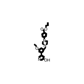 C=CCOC(=O)c1ccc(N2CCN(Cc3cc(OCC)cc(-c4cncc(O)c4)c3)CC2)cc1